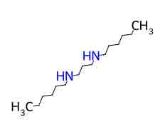 CCCCCCNCCCNCCCCCC